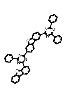 c1ccc(-c2nc(-c3ccccc3)nc(-c3ccc4oc5cc(-c6nc(-c7ccccc7)nc(-c7cccc8c7oc7ccccc78)n6)ccc5c4c3)n2)cc1